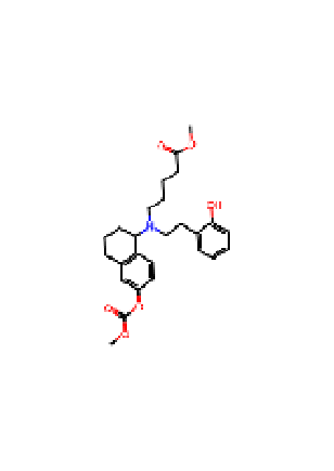 COC(=O)CCCCN(CCc1ccccc1O)C1CCCc2cc(OC(=O)OC)ccc21